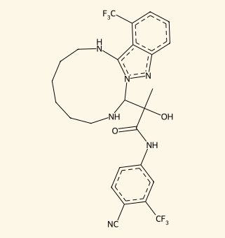 CC(O)(C(=O)Nc1ccc(C#N)c(C(F)(F)F)c1)C1NCCCCCCNc2c3c(C(F)(F)F)cccc3nn21